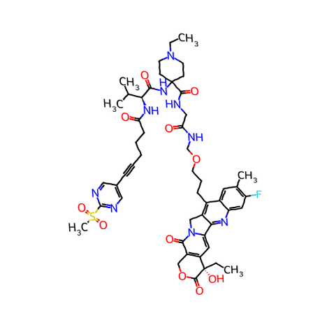 CCN1CCC(NC(=O)[C@@H](NC(=O)CCCC#Cc2cnc(S(C)(=O)=O)nc2)C(C)C)(C(=O)NCC(=O)NCOCCCc2c3c(nc4cc(F)c(C)cc24)-c2cc4c(c(=O)n2C3)COC(=O)[C@]4(O)CC)CC1